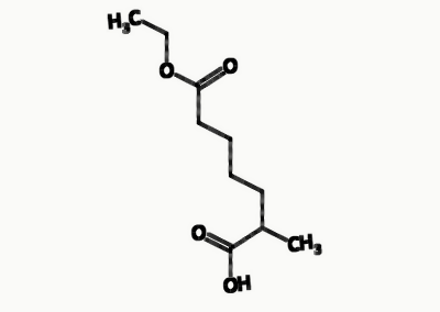 CCOC(=O)CCCCC(C)C(=O)O